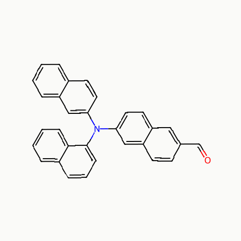 O=Cc1ccc2cc(N(c3ccc4ccccc4c3)c3cccc4ccccc34)ccc2c1